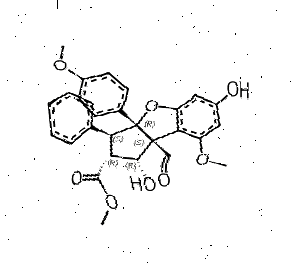 COC(=O)[C@H]1[C@@H](O)[C@@]2(C=O)c3c(OC)cc(O)cc3O[C@@]2(c2ccc(OC)cc2)[C@@H]1c1ccccc1